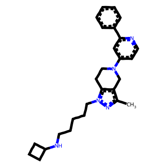 Cc1nn(CCCCCNC2CCC2)c2c1CN(c1ccnc(-c3ccccc3)c1)CC2